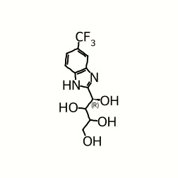 OCC(O)C(O)[C@H](O)c1nc2cc(C(F)(F)F)ccc2[nH]1